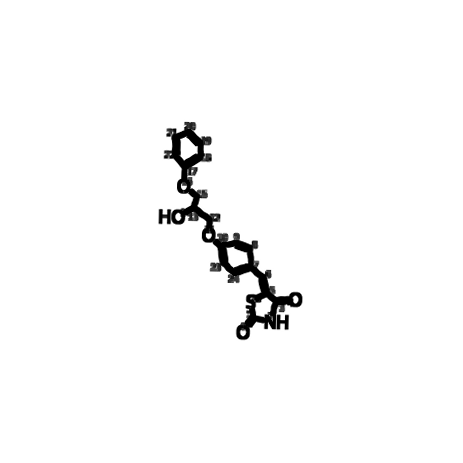 O=C1NC(=O)C(=Cc2ccc(OCC(O)COc3ccccc3)cc2)S1